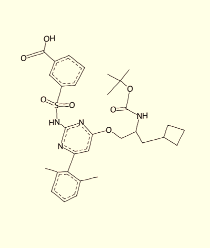 Cc1cccc(C)c1-c1cc(OCC(CC2CCC2)NC(=O)OC(C)(C)C)nc(NS(=O)(=O)c2cccc(C(=O)O)c2)n1